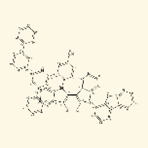 N#Cc1ccc(-n2c3ccccc3c3ccc4c(c5ccccc5n4-c4cccc5c4oc4ccccc45)c32)c(-c2nc(-c3ccccc3)nc(-c3cccc(-c4ccccc4)c3)n2)c1